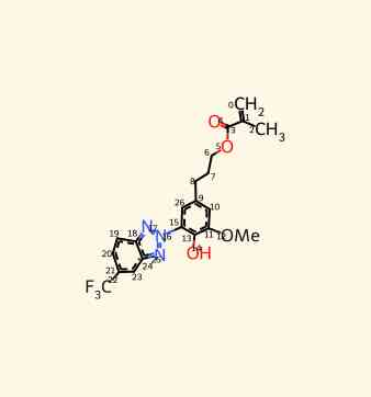 C=C(C)C(=O)OCCCc1cc(OC)c(O)c(-n2nc3ccc(C(F)(F)F)cc3n2)c1